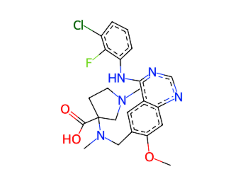 COc1cc2ncnc(Nc3cccc(Cl)c3F)c2cc1CN(C)C1(C(=O)O)CCN(C)C1